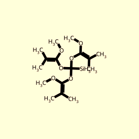 COC(OC([SiH3])(OC(OC)=C(C)C)OC(OC)=C(C)C)=C(C)C